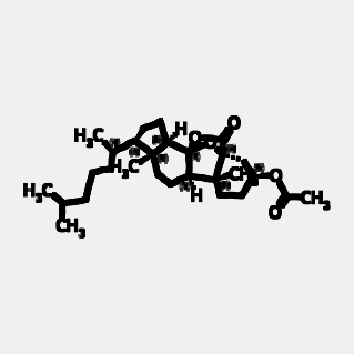 CC(=O)O[C@H]1CC[C@]2(C)[C@H]3CC[C@]4(C)[C@@H]([C@H](C)CCCC(C)C)CC[C@H]4[C@@]34OC(=O)[C@]2(C1)O4